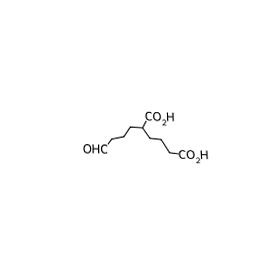 O=CCCCC(CCCC(=O)O)C(=O)O